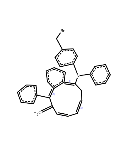 C=C1/C=C\C=C/C/C(N(c2ccccc2)c2ccc(CBr)cc2)=c2/cccc/c2=C/1c1ccccc1